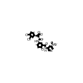 O=C(Nc1cncc([N+](=O)[O-])c1)c1cc(NC(=O)[C@H]2[C@H](c3ccc(Cl)c(Cl)c3)C2(Cl)Cl)ccc1Cl